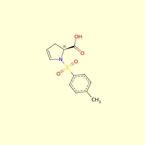 Cc1ccc(S(=O)(=O)N2C=CC[C@H]2C(=O)O)cc1